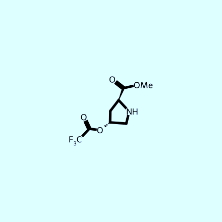 COC(=O)[C@@H]1C[C@@H](OC(=O)C(F)(F)F)CN1